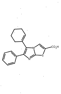 O=C(O)c1cn2c(C3=CCCCC3)c(-c3ccccc3)nc2s1